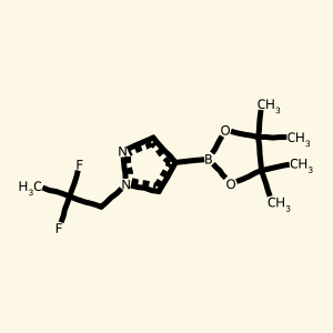 CC(F)(F)Cn1cc(B2OC(C)(C)C(C)(C)O2)cn1